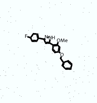 COc1cc(OCc2ccccc2)ccc1-c1cc(C2=CCC(F)C=C2)n[nH]1